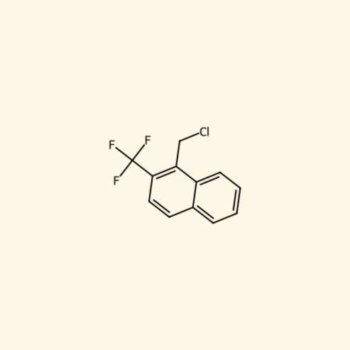 FC(F)(F)c1ccc2ccccc2c1CCl